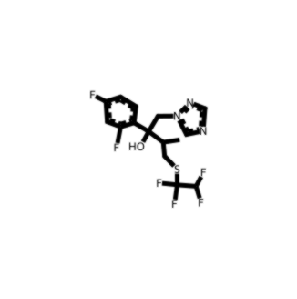 CC(CSC(F)(F)C(F)F)C(O)(Cn1cncn1)c1ccc(F)cc1F